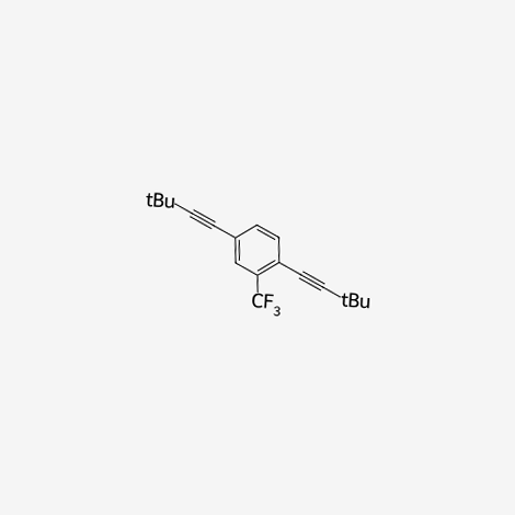 CC(C)(C)C#Cc1ccc(C#CC(C)(C)C)c(C(F)(F)F)c1